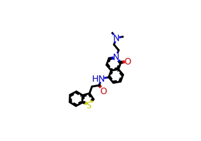 CN(C)CCn1ccc2c(NC(=O)Cc3csc4ccccc34)cccc2c1=O